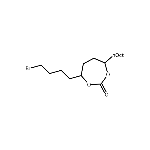 CCCCCCCCC1CCC(CCCCBr)OC(=O)O1